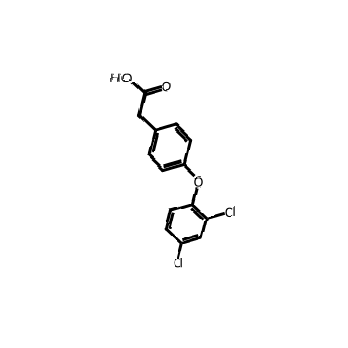 O=C(O)Cc1ccc(Oc2ccc(Cl)cc2Cl)cc1